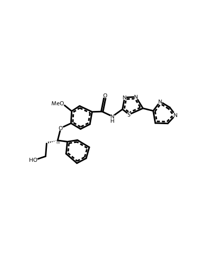 COc1cc(C(=O)Nc2nnc(-c3ccncn3)s2)ccc1O[C@@H](CCO)c1ccccc1